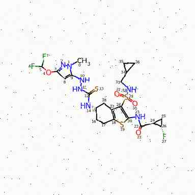 Cn1nc(OC(F)F)cc1NNC(=S)N[C@H]1CCc2sc(NC(=O)[C@H]3C[C@@H]3F)c(S(=O)(=O)NCC3CC3)c2C1